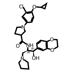 O=C(N[C@H](CN1CCCC1)[C@H](O)c1ccc2c(c1)OCCO2)C1CCN(c2ccc(OC3CC3)c(Cl)c2)C1